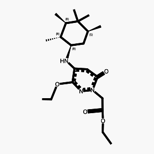 CCOC(=O)Cn1nc(OCC)c(N[C@@H]2C[C@H](C)C(C)(C)[C@H](C)[C@H]2C)cc1=O